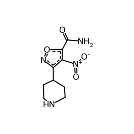 NC(=O)c1onc(C2CCNCC2)c1[N+](=O)[O-]